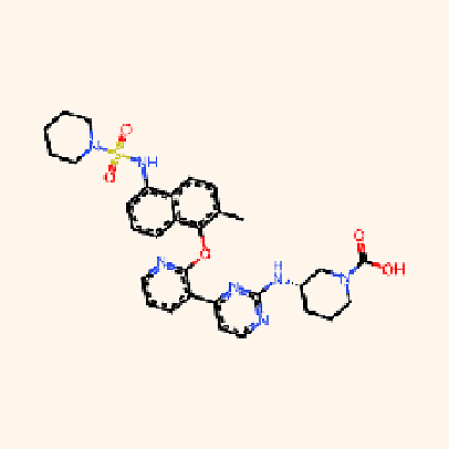 Cc1ccc2c(NS(=O)(=O)N3CCCCC3)cccc2c1Oc1ncccc1-c1ccnc(N[C@H]2CCCN(C(=O)O)C2)n1